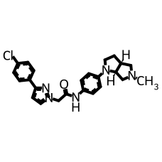 CN1C[C@@H]2CCN(c3ccc(NC(=O)Cn4ccc(-c5ccc(Cl)cc5)n4)cc3)[C@@H]2C1